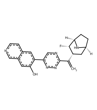 C=C(c1ncc(-c2cc3ccncc3cc2O)nn1)[C@H]1C[C@@H]2CC[C@@H](N2)[C@H]1F